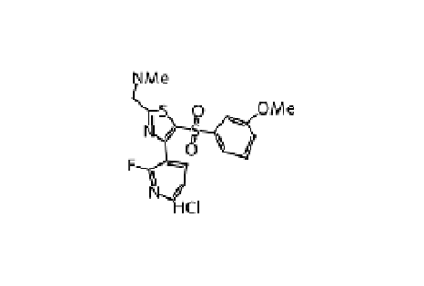 CNCc1nc(-c2cccnc2F)c(S(=O)(=O)c2cccc(OC)c2)s1.Cl